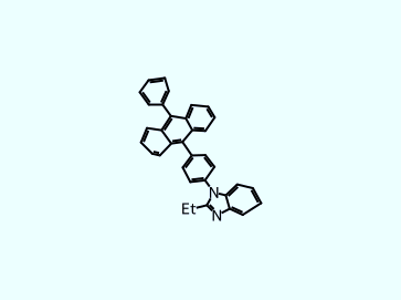 CCc1nc2ccccc2n1-c1ccc(-c2c3ccccc3c(-c3ccccc3)c3ccccc23)cc1